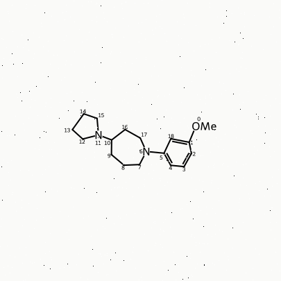 COc1cccc(N2CCCC(N3CCCC3)CC2)c1